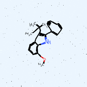 COc1cccc2c(C(C)(C)C)c(-c3ccccc3)[nH]c12